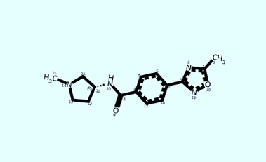 Cc1nc(-c2ccc(C(=O)N[C@@H]3CCN(C)C3)cc2)no1